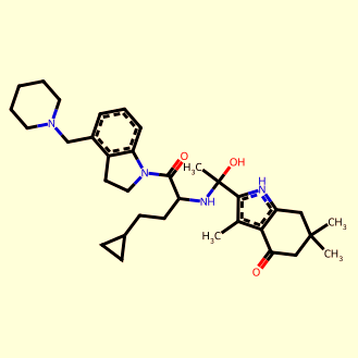 Cc1c(C(C)(O)NC(CCC2CC2)C(=O)N2CCc3c(CN4CCCCC4)cccc32)[nH]c2c1C(=O)CC(C)(C)C2